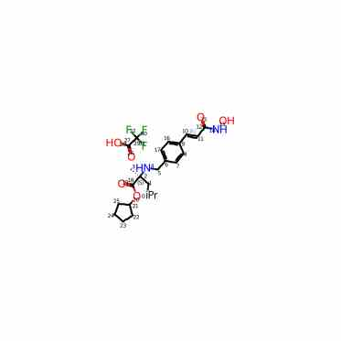 CC(C)C[C@](C)(NCc1ccc(/C=C/C(=O)NO)cc1)C(=O)OC1CCCC1.O=C(O)C(F)(F)F